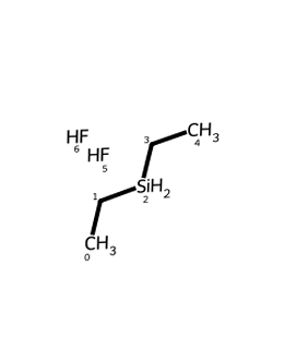 CC[SiH2]CC.F.F